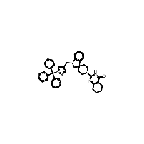 O=c1[nH]c(N2CCC3(CC2)CN(Cc2cnn(C(c4ccccc4)(c4ccccc4)c4ccccc4)c2)c2ccccc23)nc2c1CCCC2